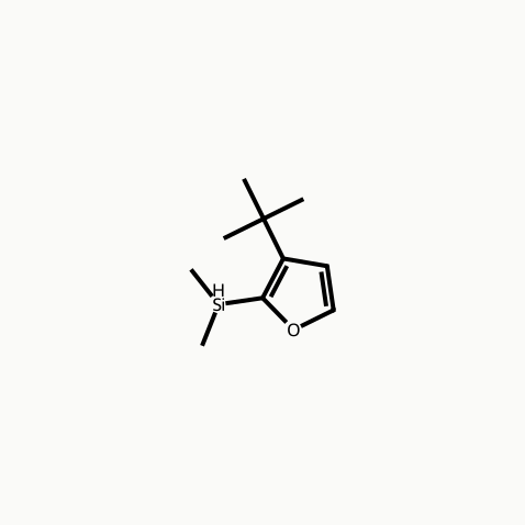 C[SiH](C)c1occc1C(C)(C)C